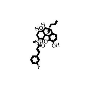 C=CCN1CC[C@]23c4c5ccc(O)c4O[C@H]2[C@H](N(C)C(=O)C=Cc2cccc(F)c2)CCC3(O)[C@H]1C5